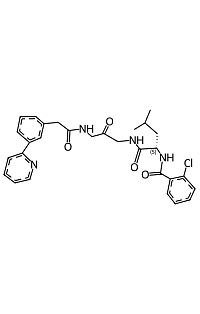 CC(C)C[C@H](NC(=O)c1ccccc1Cl)C(=O)NCC(=O)CNC(=O)Cc1cccc(-c2ccccn2)c1